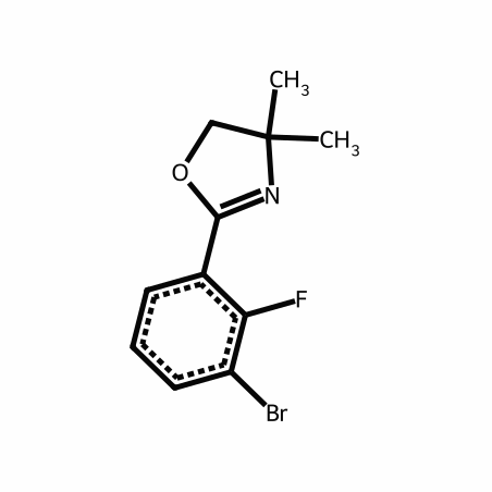 CC1(C)COC(c2cccc(Br)c2F)=N1